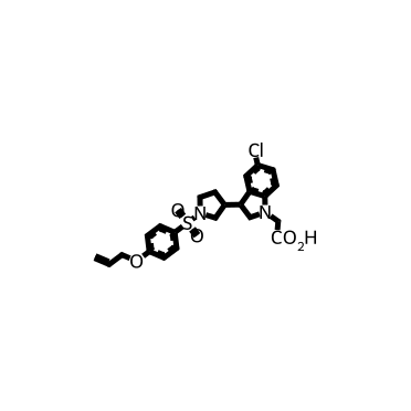 C=CCOc1ccc(S(=O)(=O)N2CCC(C3CN(CC(=O)O)c4ccc(Cl)cc43)C2)cc1